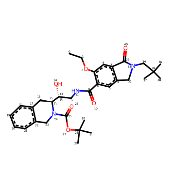 CCOc1cc2c(cc1C(=O)NC[C@@H](O)[C@@H]1Cc3ccccc3CN1C(=O)OC(C)(C)C)CN(CC(C)(C)C)C2=O